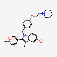 C=C(O)/C=C\C(=C/C)c1c(C)c2cc(O)ccc2n1Cc1ccc(OCCN2CCCCC2)cc1